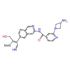 CN/C(CO)=C(\C=N)c1ccc2cnc(NC(=O)c3ccnc(N4CC(N)C4)c3)cc2c1